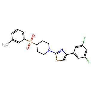 O=S(=O)(c1cccc(C(F)(F)F)c1)C1CCN(c2nc(-c3cc(F)cc(F)c3)cs2)CC1